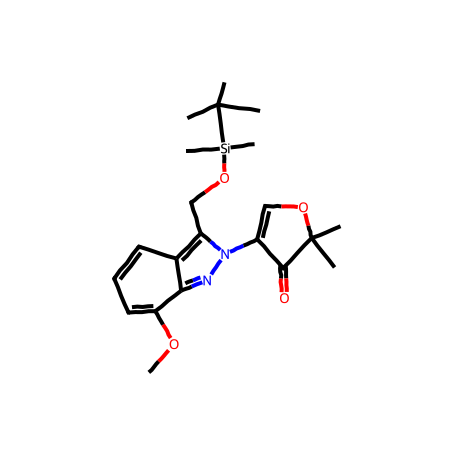 COc1cccc2c(CO[Si](C)(C)C(C)(C)C)n(C3=COC(C)(C)C3=O)nc12